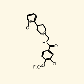 O=C(NCN1CCC(c2cccc[n+]2[O-])CC1)c1ccc(OC(F)(F)F)c(Cl)c1